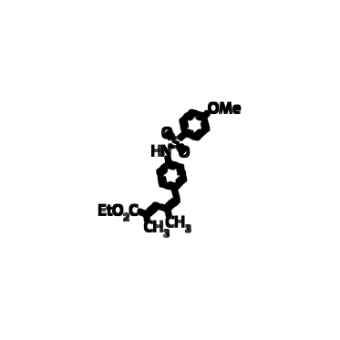 CCOC(=O)C(C)=CC(C)=Cc1ccc(NS(=O)(=O)c2ccc(OC)cc2)cc1